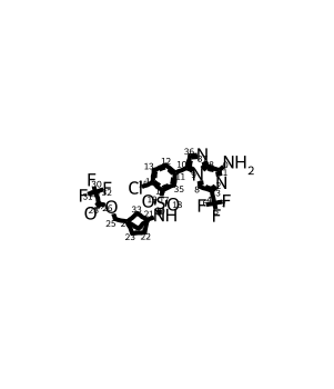 Nc1nc(C(F)(F)F)cn2c(-c3ccc(Cl)c(S(=O)(=O)NC45CCC(COC(=O)C(F)(F)F)(C4)C5)c3)cnc12